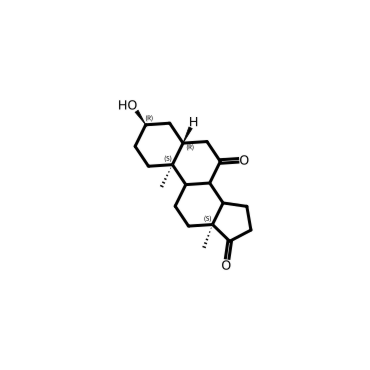 C[C@]12CCC3C(C(=O)C[C@H]4C[C@H](O)CC[C@]34C)C1CCC2=O